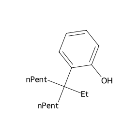 CCCCCC(CC)(CCCCC)c1ccccc1O